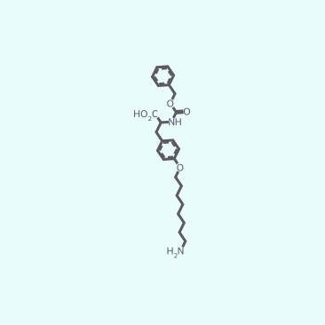 NCCCCCCCCOc1ccc(CC(NC(=O)OCc2ccccc2)C(=O)O)cc1